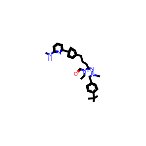 CCN(C=O)/C(CCCc1ccc(-c2cccc(NC)n2)cc1)=N\N(C)Cc1ccc(C(C)(C)C)cc1